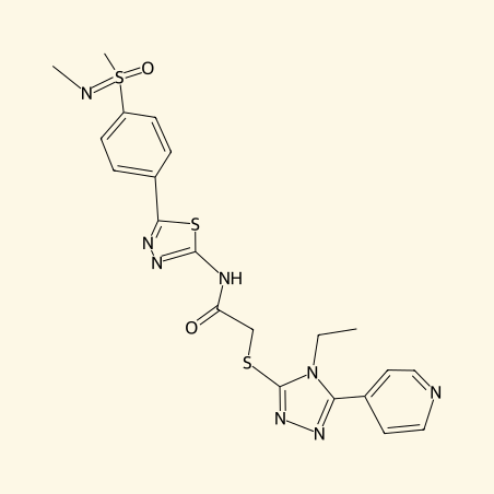 CCn1c(SCC(=O)Nc2nnc(-c3ccc(S(C)(=O)=NC)cc3)s2)nnc1-c1ccncc1